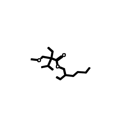 CCCCC(CC)COC(=O)C(CC)(COC)C(C)C